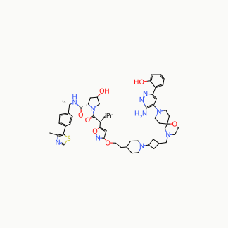 Cc1ncsc1-c1ccc([C@H](C)NC(=O)[C@@H]2C[C@@H](O)CN2C(=O)[C@H](c2cc(OCCC3CCN(C4CC(CN5CCOC6(CCN(c7cc(-c8ccccc8O)nnc7N)CC6)C5)C4)CC3)no2)C(C)C)cc1